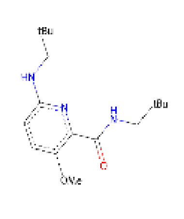 COc1ccc(NCC(C)(C)C)nc1C(=O)NCC(C)(C)C